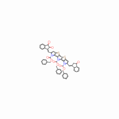 O=C1C(=O)c2ccccc2/C1=C/c1cc2sc3c4sc5cc(/C=C6\CC(=O)c7ccccc76)n(C(=O)OCc6ccccc6)c5c4n(C(=O)OCc4ccccc4)c3c2n1C(=O)OCc1ccccc1